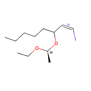 CCCCCC(/C=C\I)O[C@@H](C)OCC